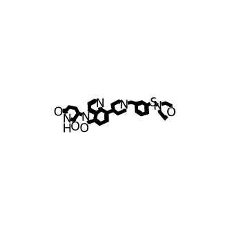 O=C1CCC(N2C(=O)c3ccc(C4CCN(Cc5cccc(SN6CCOCC6)c5)CC4)c4nccc2c34)C(=O)N1